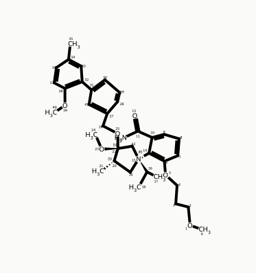 COCCCOc1cccc(C(N)=O)c1[N@+]1(C(C)C)C[C@H](C)[C@](OC)(OCc2cccc(-c3cc(C)ccc3OC)c2)C1